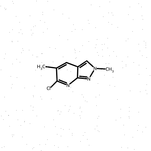 Cc1cc2cn(C)nc2nc1Cl